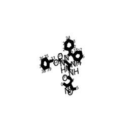 Cc1noc(C)c1CC(=O)N/N=C1\Nc2ccccc2C(c2ccccc2)=NC1NC(=O)OCc1ccccc1